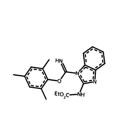 CCOC(=O)Nc1nc2ccccc2n1C(=N)Oc1c(C)cc(C)cc1C